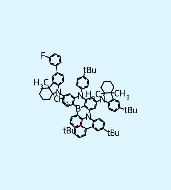 CC(C)(C)c1ccc(N2c3cc(N4c5ccc(-c6cccc(F)c6)cc5C5(C)CCCCC45C)ccc3B3c4ccc(C(C)(C)C)cc4N(c4ccc(C(C)(C)C)cc4-c4ccccc4)c4cc(N5c6ccc(C(C)(C)C)cc6C6(C)CCCCC56C)cc2c43)cc1